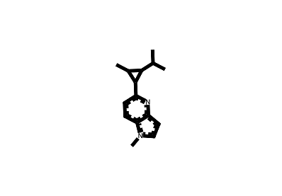 CC(C)C1C(C)C1c1ccc2c(ccn2C)n1